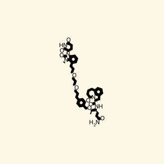 C[C@@H](OCc1ccc(CCCOCCCOCCCc2cccc3c2n(C)c(=O)n3C2CCC(=O)NC2=O)cc1)[C@H](CCC(N)=O)NC(=O)[C@@H]1Cc2cccc3c2N1C(=O)CCC3